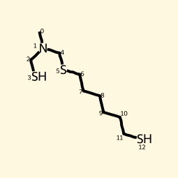 CN(CS)CSCCCCCCS